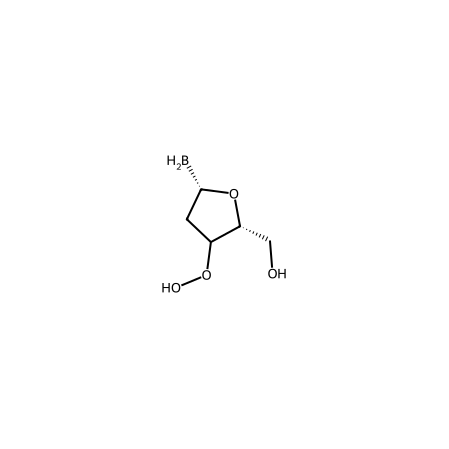 B[C@H]1CC(OO)[C@@H](CO)O1